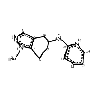 CCCCn1ncc2c1CCC(Nc1ccccn1)C2